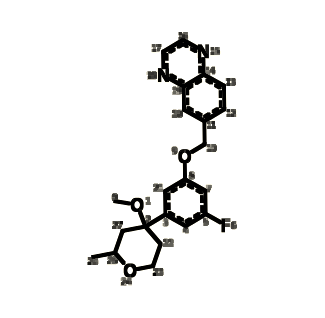 COC1(c2cc(F)cc(OCc3ccc4nccnc4c3)c2)CCOC(C)C1